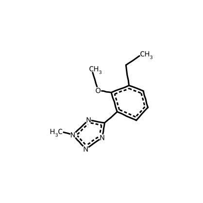 CCc1cccc(-c2nnn(C)n2)c1OC